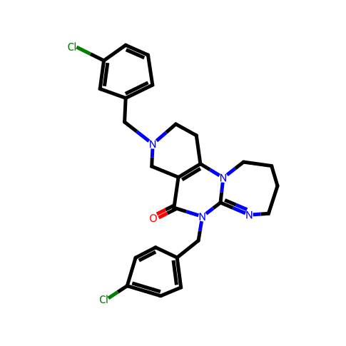 O=C1C2=C(CCN(Cc3cccc(Cl)c3)C2)N2CCCCN=C2N1Cc1ccc(Cl)cc1